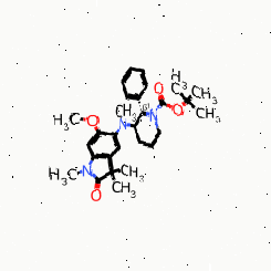 COc1cc2c(cc1N(C)C1CCCN(C(=O)OC(C)(C)C)[C@H]1c1ccccc1)C(C)(C)C(=O)N2C